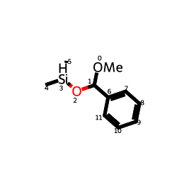 COC(O[SiH](C)C)c1ccccc1